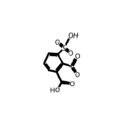 O=C(O)c1cccc(S(=O)(=O)O)c1I(=O)=O